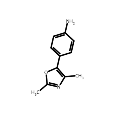 Cc1nc(C)c(-c2ccc(N)cc2)o1